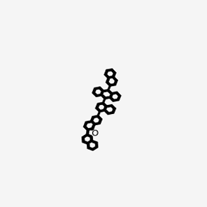 c1ccc2cc(-c3c4ccccc4c(-c4ccc(-c5ccc6c(ccc7c8ccc9ccccc9c8oc67)c5)c5ccccc45)c4ccccc34)ccc2c1